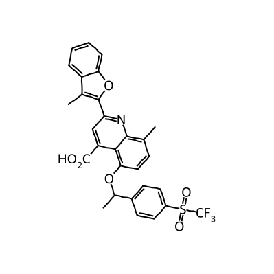 Cc1c(-c2cc(C(=O)O)c3c(OC(C)c4ccc(S(=O)(=O)C(F)(F)F)cc4)ccc(C)c3n2)oc2ccccc12